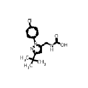 CC(C)(C)c1cc(CNC(=O)O)n(-c2ccc(Cl)cc2)n1